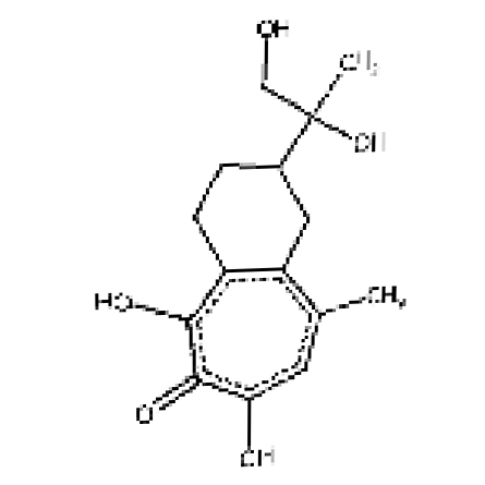 Cc1cc(O)c(=O)c(O)c2c1CC(C(C)(O)CO)CC2